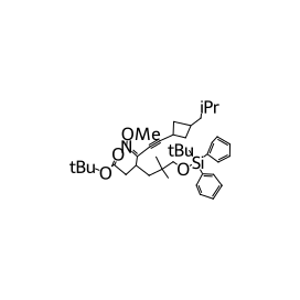 CO/N=C(\C#CC1CC(CC(C)C)C1)C(CC(=O)OC(C)(C)C)CC(C)(C)CO[Si](c1ccccc1)(c1ccccc1)C(C)(C)C